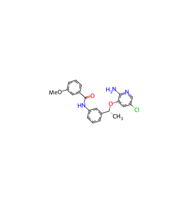 COc1cccc(C(=O)Nc2cccc([C@@H](C)Oc3cc(Cl)cnc3N)c2)c1